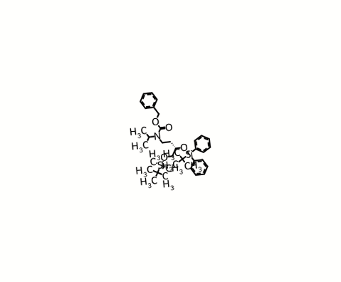 CC(C)N(CC[C@@H](CO[Si](C)(C)C(C)(C)C)O[Si](c1ccccc1)(c1ccccc1)C(C)(C)C)C(=O)OCc1ccccc1